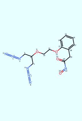 [N-]=[N+]=NCC(CN=[N+]=[N-])OCCOc1ccccc1CC(=O)N=O